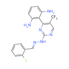 Nc1cccc(N)c1-c1nc(NN=Cc2ccccc2F)ncc1C(F)(F)F